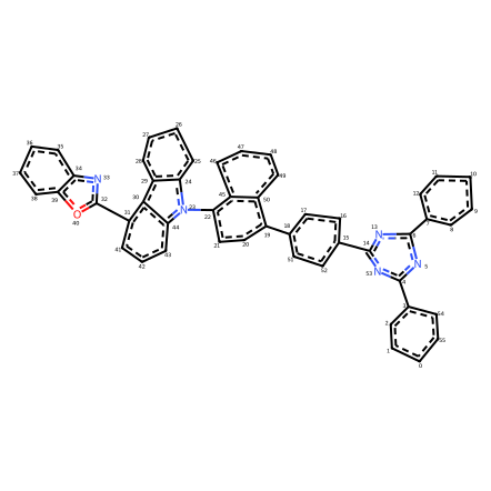 c1ccc(-c2nc(-c3ccccc3)nc(-c3ccc(-c4ccc(-n5c6ccccc6c6c(-c7nc8ccccc8o7)cccc65)c5ccccc45)cc3)n2)cc1